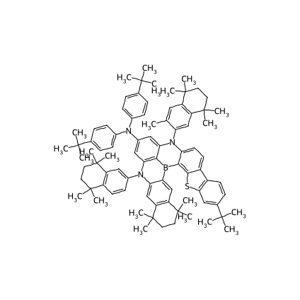 Cc1cc2c(cc1N1c3cc(N(c4ccc(C(C)(C)C)cc4)c4ccc(C(C)(C)C)cc4)cc4c3B(c3cc5c(cc3N4c3ccc4c(c3)C(C)(C)CCC4(C)C)C(C)(C)CCC5(C)C)c3c1ccc1c3sc3cc(C(C)(C)C)ccc31)C(C)(C)CCC2(C)C